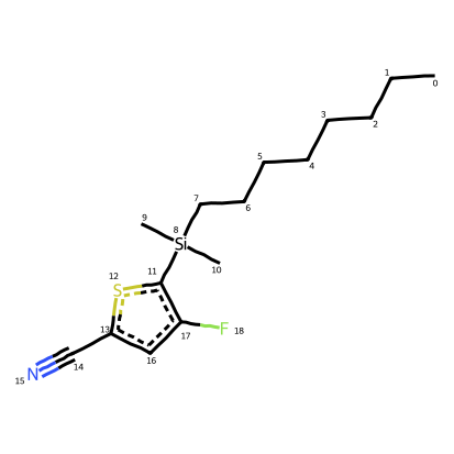 CCCCCCCC[Si](C)(C)c1sc(C#N)cc1F